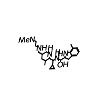 CNCCNCC1CNC(C(NC(O)C2Cc3cccc(C)c3N2)C2CC2)C(C)C1